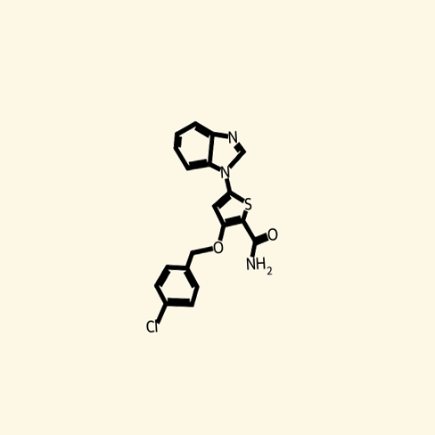 NC(=O)c1sc(-n2cnc3ccccc32)cc1OCc1ccc(Cl)cc1